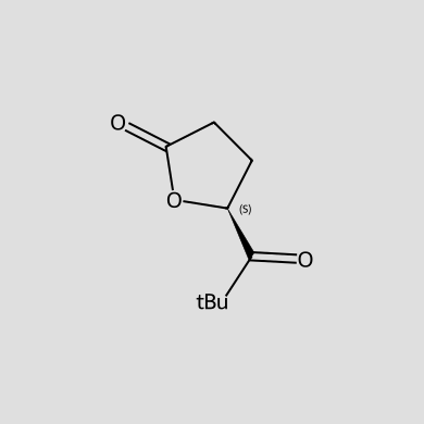 CC(C)(C)C(=O)[C@@H]1CCC(=O)O1